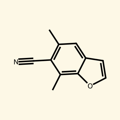 Cc1cc2ccoc2c(C)c1C#N